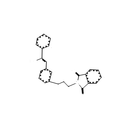 C/C(=C\c1cccc(CCCN2C(=O)c3ccccc3C2=O)c1)c1ccccc1